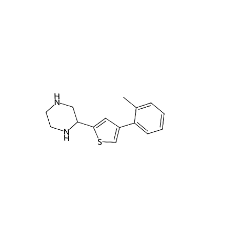 Cc1ccccc1-c1csc(C2CNCCN2)c1